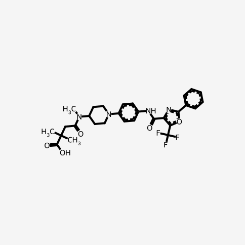 CN(C(=O)CC(C)(C)C(=O)O)C1CCN(c2ccc(NC(=O)c3nc(-c4ccccc4)oc3C(F)(F)F)cc2)CC1